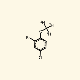 [2H]C([2H])([2H])Oc1ccc(Cl)cc1Br